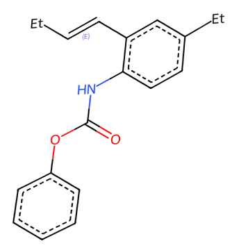 CC/C=C/c1cc(CC)ccc1NC(=O)Oc1ccccc1